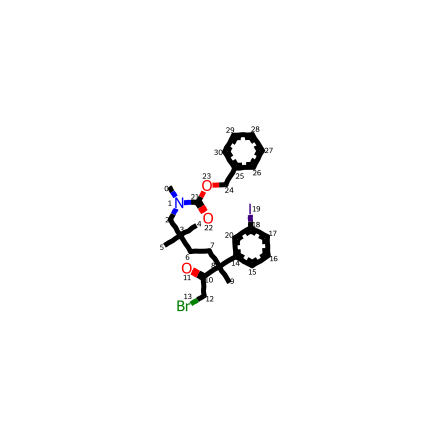 CN(CC(C)(C)CCC(C)(C(=O)CBr)c1cccc(I)c1)C(=O)OCc1ccccc1